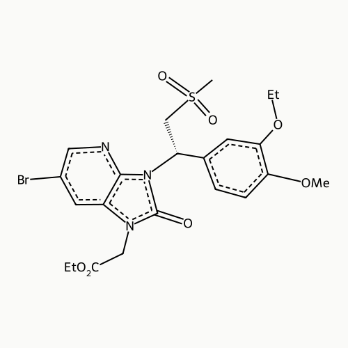 CCOC(=O)Cn1c(=O)n([C@H](CS(C)(=O)=O)c2ccc(OC)c(OCC)c2)c2ncc(Br)cc21